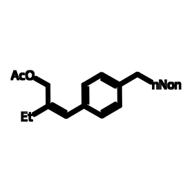 CCCCCCCCCCc1ccc(C=C(CC)COC(C)=O)cc1